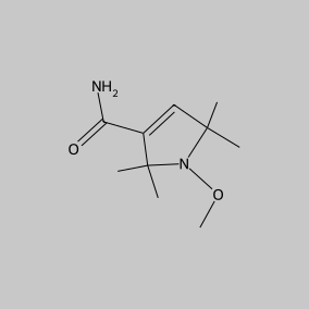 CON1C(C)(C)C=C(C(N)=O)C1(C)C